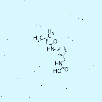 CC(C)=CC(=O)Nc1cccc(CNC(=O)O)c1